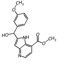 COC(=O)c1ccnc2cc(C(O)c3cccc(OC)c3)[nH]c12